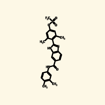 Cc1ccc(NC(=O)c2ccc3nc(-c4c(C)cc(OS(=O)(=O)C(F)(F)F)cc4C)[nH]c3c2)cc1C